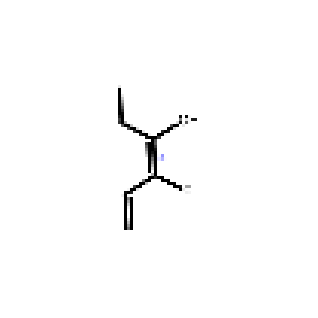 C=C/C(F)=C(/O)CC